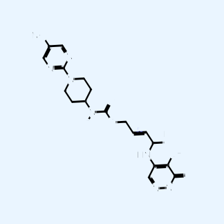 CC(/C=C/COC(=O)N(C)C1CCN(c2ncc(C#N)cn2)CC1)Nc1cn[nH]c(=O)c1C(F)(F)F